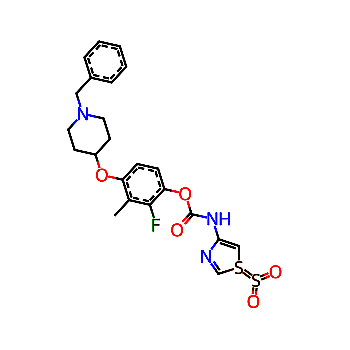 Cc1c(OC2CCN(Cc3ccccc3)CC2)ccc(OC(=O)NC2=CS(=S(=O)=O)C=N2)c1F